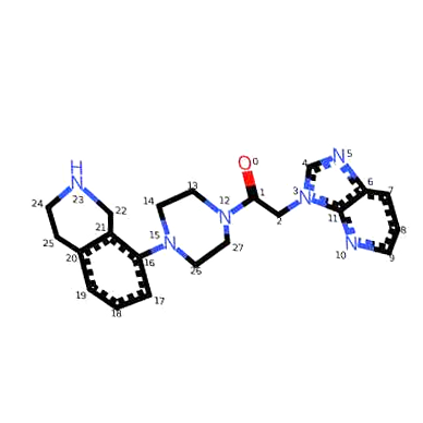 O=C(Cn1cnc2cccnc21)N1CCN(c2cccc3c2CNCC3)CC1